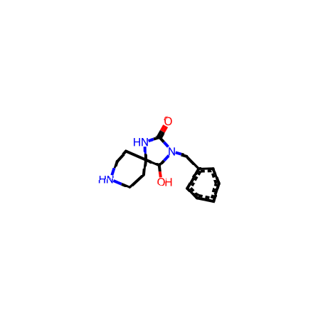 O=C1NC2(CCNCC2)C(O)N1Cc1ccccc1